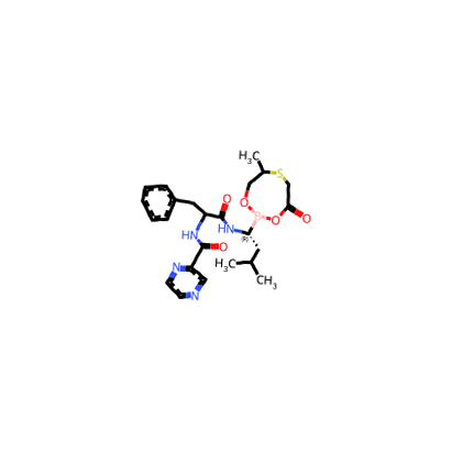 CC(C)C[C@H](NC(=O)C(Cc1ccccc1)NC(=O)c1cnccn1)B1OCC(C)SCC(=O)O1